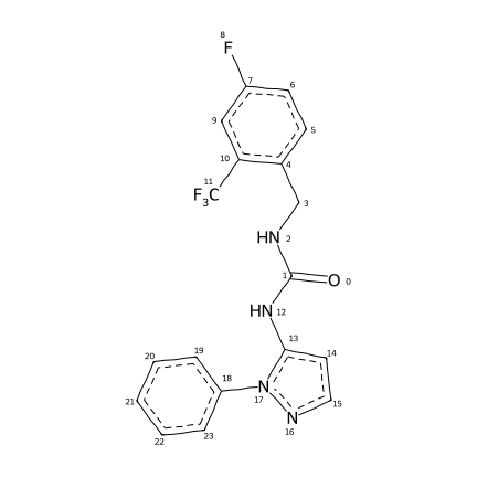 O=C(NCc1ccc(F)cc1C(F)(F)F)Nc1ccnn1-c1ccccc1